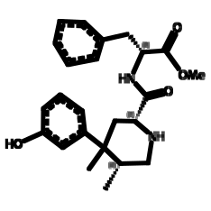 COC(=O)[C@@H](Cc1ccccc1)NC(=O)[C@H]1CC(C)(c2cccc(O)c2)[C@@H](C)CN1